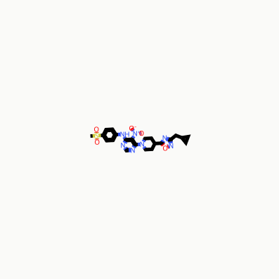 CS(=O)(=O)c1ccc(Nc2ncnc(N3CCC(c4nc(CC5CC5)no4)CC3)c2[N+](=O)[O-])cc1